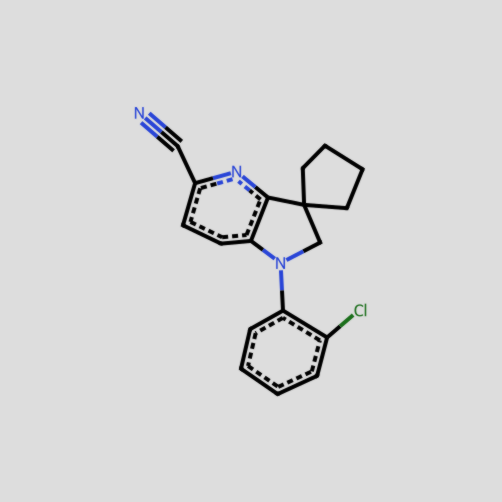 N#Cc1ccc2c(n1)C1(CCCC1)CN2c1ccccc1Cl